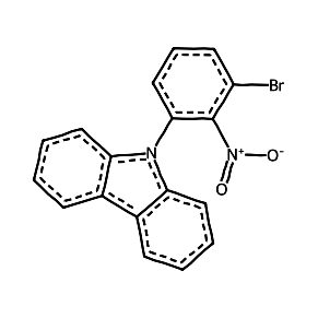 O=[N+]([O-])c1c(Br)cccc1-n1c2ccccc2c2ccccc21